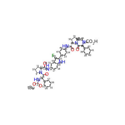 CC(C)(C)OC(=O)N[C@H](C(=O)N1CCC[C@H]1C(=O)Nc1ccc2[nH]c(-c3ccc(NC(=O)[C@@H]4CCCN4C(=O)[C@H](c4ccccc4)N(C(=O)O)C(C)(C)C)cc3)c(F)c2c1)c1ccccc1